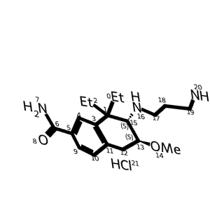 CCC1(CC)c2cc(C(N)=O)ccc2C[C@H](OC)[C@H]1NCCCN.Cl